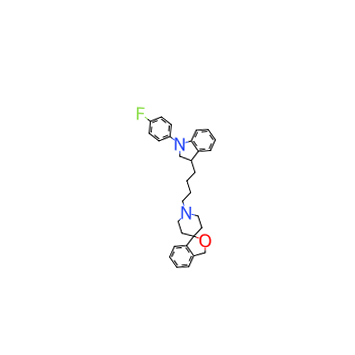 Fc1ccc(N2CC(CCCCN3CCC4(CC3)OCc3ccccc34)c3ccccc32)cc1